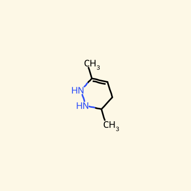 CC1=CCC(C)NN1